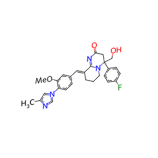 COc1cc(/C=C2\CCCN3C2=NC(=O)CC3(CO)c2ccc(F)cc2)ccc1-n1cnc(C)c1